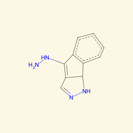 NNC1=C2C=NNC2c2ccccc21